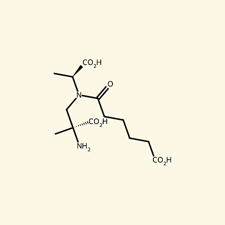 C[C@@H](C(=O)O)N(C[C@](C)(N)C(=O)O)C(=O)CCCCC(=O)O